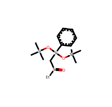 CC[Si](=O)C[Si](O[Si](C)(C)C)(O[Si](C)(C)C)c1ccccc1